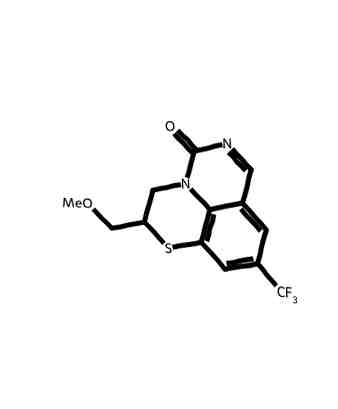 COCC1Cn2c(=O)ncc3cc(C(F)(F)F)cc(c32)S1